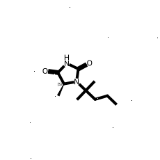 CCCC(C)(C)N1C(=O)NC(=O)[C@@H]1C